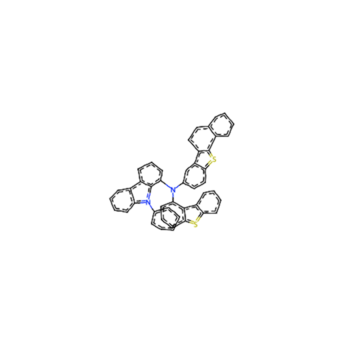 c1ccc(-n2c3ccccc3c3cccc(N(c4ccc5sc6c7ccccc7ccc6c5c4)c4cccc5sc6ccccc6c45)c32)cc1